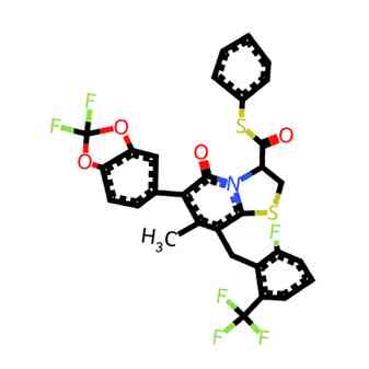 Cc1c(Cc2c(F)cccc2C(F)(F)F)c2n(c(=O)c1-c1ccc3c(c1)OC(F)(F)O3)C(C(=O)Sc1ccccc1)CS2